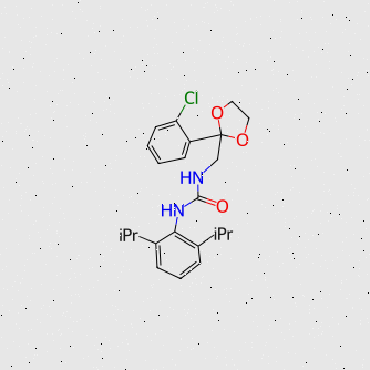 CC(C)c1cccc(C(C)C)c1NC(=O)NCC1(c2ccccc2Cl)OCCO1